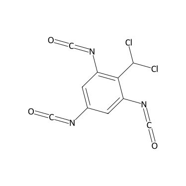 O=C=Nc1cc(N=C=O)c(C(Cl)Cl)c(N=C=O)c1